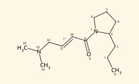 CCCC1CCCN1C(=O)/C=C/CN(C)C